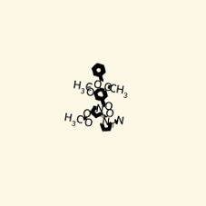 COC1=CC(C(=O)N2C[C@H](OC(C)=O)C[C@H]2C(=O)N2CCC[C@H]2C#N)=CC(OC)C1OCc1ccccc1